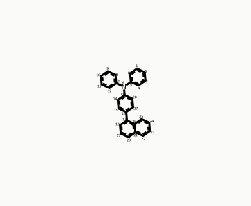 [c]1ccccc1N(c1ccccc1)c1ccc(-c2cccc3ccccc23)cc1